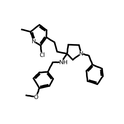 COc1ccc(CNC2(CCc3ccc(C)nc3Cl)CCN(Cc3ccccc3)C2)cc1